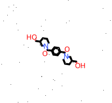 O=C(c1ccc(C(=O)N2CCCC(CO)C2)cc1)N1CCCC(CO)C1